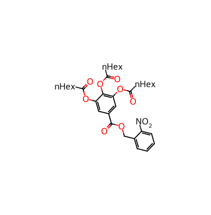 CCCCCCC(=O)Oc1cc(C(=O)OCc2ccccc2[N+](=O)[O-])cc(OC(=O)CCCCCC)c1OC(=O)CCCCCC